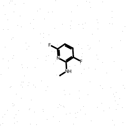 CNc1nc(F)ccc1F